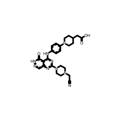 N#CCN1CCN(c2nc(Nc3ccc(N4CCC(CC(=O)O)CC4)cc3)c3c(=O)[nH]ncc3n2)CC1